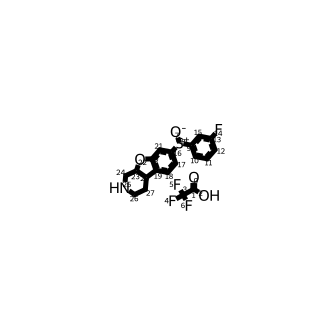 O=C(O)C(F)(F)F.[O-][S+](c1cccc(F)c1)c1ccc2c(c1)OC1CNCCC21